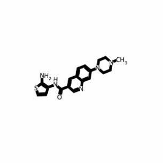 CN1CCN(c2ccc3cc(C(=O)Nc4ccsc4N)cnc3c2)CC1